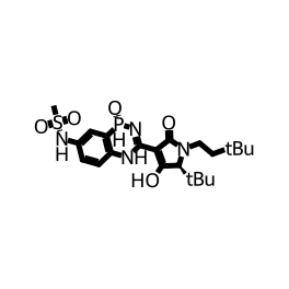 CC(C)(C)CCN1C(=O)C(C2=N[PH](=O)c3cc(NS(C)(=O)=O)ccc3N2)=C(O)[C@@H]1C(C)(C)C